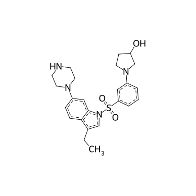 CCc1cn(S(=O)(=O)c2cccc(N3CCC(O)C3)c2)c2cc(N3CCNCC3)ccc12